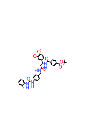 COc1ccc(C(CC(=O)NCc2ccc(NC(=O)Nc3ccccc3C)cc2)NC(=O)c2ccc(C(=O)OC(C)(C)C)cc2)cc1OC